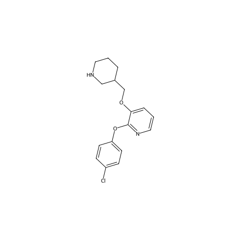 Clc1ccc(Oc2ncccc2OCC2CCCNC2)cc1